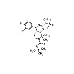 CC(C)(C)OC(=O)N1CCc2c(cc(C(O)C(F)(F)F)nc2-c2ccc(F)c(Cl)c2)C1(C)C